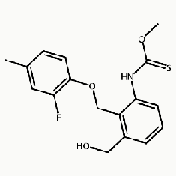 COC(=S)Nc1cccc(CO)c1COc1ccc(C)cc1F